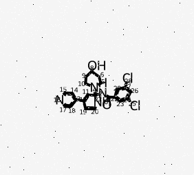 O=C(NC1(N2CCC(O)CC2)C=C(c2ccncc2)C=CN1)c1cc(Cl)cc(Cl)c1